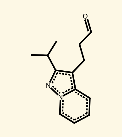 CC(C)c1nn2ccccc2c1CCC=O